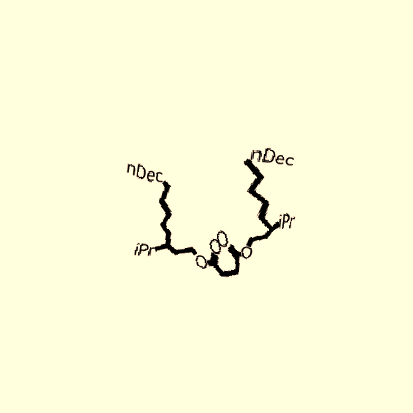 CCCCCCCCCCCCCCCC(CCOC(=O)/C=C\C(=O)OCCC(CCCCCCCCCCCCCCC)C(C)C)C(C)C